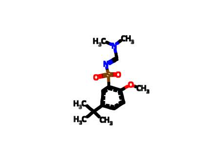 COc1ccc(C(C)(C)C)cc1S(=O)(=O)N=CN(C)C